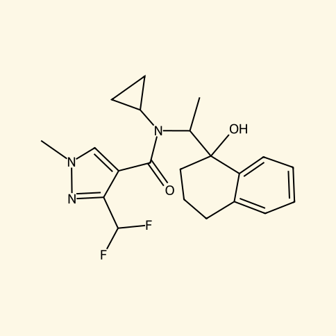 CC(N(C(=O)c1cn(C)nc1C(F)F)C1CC1)C1(O)CCCc2ccccc21